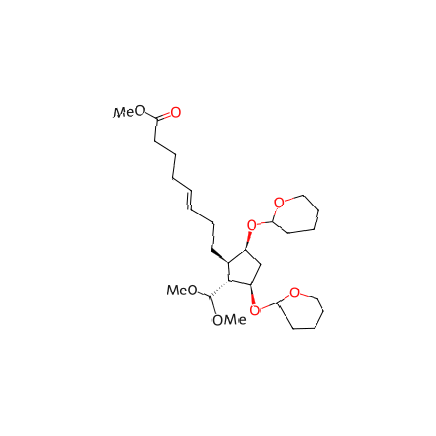 COC(=O)CCCC=CCC[C@@H]1[C@@H](C(OC)OC)[C@H](OC2CCCCO2)C[C@@H]1OC1CCCCO1